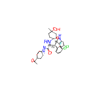 CC(=O)C12CCC(NC(=O)[C@@H]3NC4(CCC(C)(O)CC4)[C@@]4(C(=O)Nc5cc(Cl)ccc54)[C@H]3c3cccc(Cl)c3F)(CC1)CC2